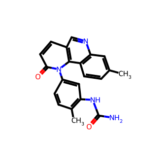 Cc1ccc2c(c1)ncc1ccc(=O)n(-c3ccc(C)c(NC(N)=O)c3)c12